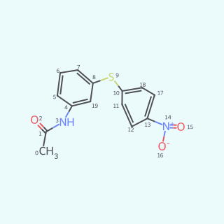 CC(=O)Nc1cccc(Sc2ccc([N+](=O)[O-])cc2)c1